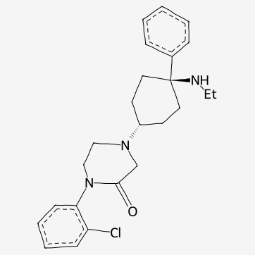 CCN[C@]1(c2ccccc2)CC[C@@H](N2CCN(c3ccccc3Cl)C(=O)C2)CC1